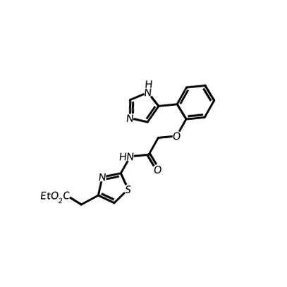 CCOC(=O)Cc1csc(NC(=O)COc2ccccc2-c2cnc[nH]2)n1